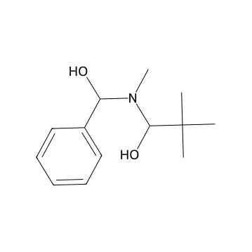 CN(C(O)c1ccccc1)C(O)C(C)(C)C